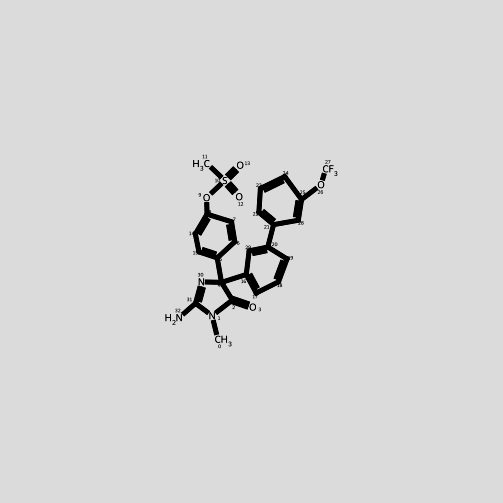 CN1C(=O)C(c2ccc(OS(C)(=O)=O)cc2)(c2cccc(-c3cccc(OC(F)(F)F)c3)c2)N=C1N